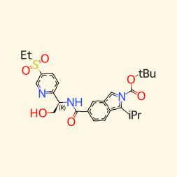 CCS(=O)(=O)c1ccc([C@H](CO)NC(=O)c2ccc3c(C(C)C)n(C(=O)OC(C)(C)C)cc3c2)nc1